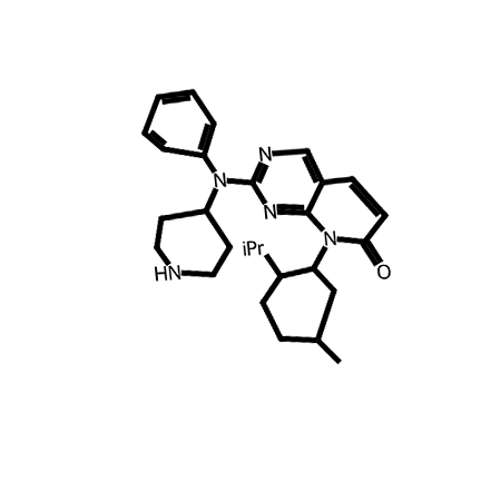 CC1CCC(C(C)C)C(n2c(=O)ccc3cnc(N(c4ccccc4)C4CCNCC4)nc32)C1